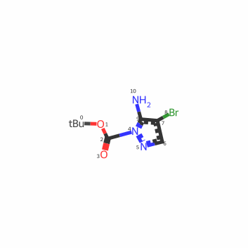 CC(C)(C)OC(=O)n1ncc(Br)c1N